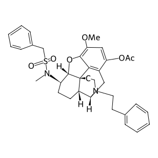 COc1cc(OC(C)=O)c2c3c1O[C@H]1[C@H](N(C)S(=O)(=O)Cc4ccccc4)CC[C@H]4[C@@H](C2)N(CCc2ccccc2)CC[C@@]341